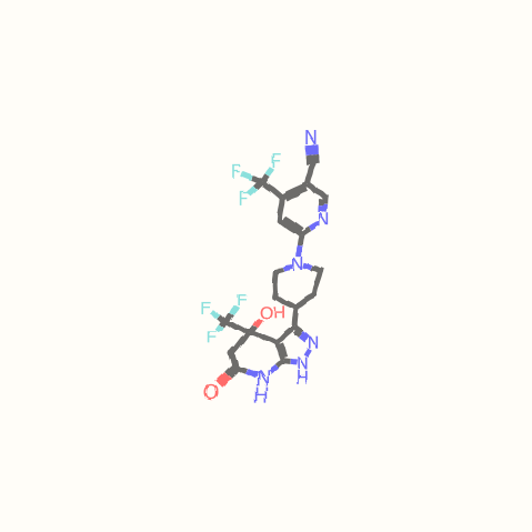 N#Cc1cnc(N2CCC(c3n[nH]c4c3C(O)(C(F)(F)F)CC(=O)N4)CC2)cc1C(F)(F)F